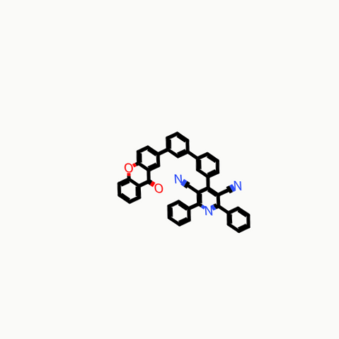 N#Cc1c(-c2ccccc2)nc(-c2ccccc2)c(C#N)c1-c1cccc(-c2cccc(-c3ccc4oc5ccccc5c(=O)c4c3)c2)c1